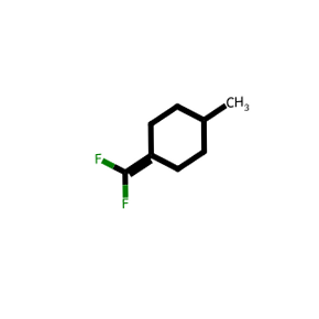 CC1CCC(=C(F)F)CC1